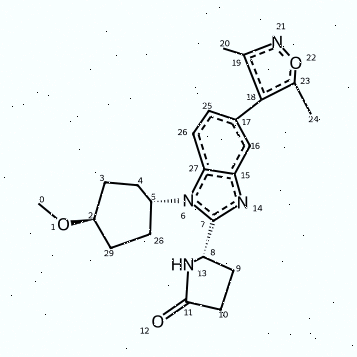 CO[C@H]1CC[C@H](n2c([C@@H]3CCC(=O)N3)nc3cc(-c4c(C)noc4C)ccc32)CC1